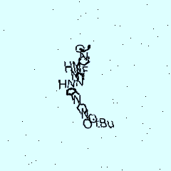 C=CC(=O)N1CCCC(Nc2nc(Nc3ccc4c(c3)CN(C3CCN(C(=O)OC(C)(C)C)CC3)C4)ncc2F)C1